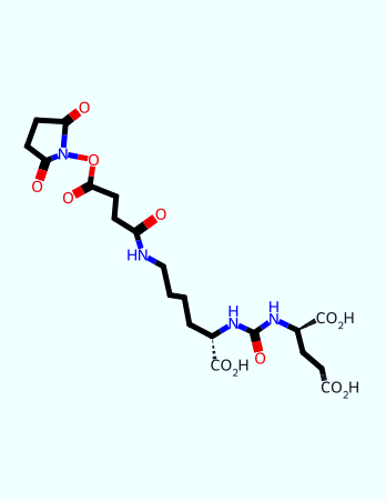 O=C(O)CC[C@@H](NC(=O)N[C@@H](CCCCNC(=O)CCC(=O)ON1C(=O)CCC1=O)C(=O)O)C(=O)O